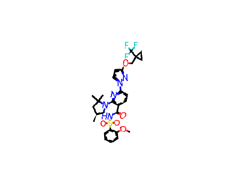 COc1ccccc1S(=O)(=O)NC(=O)c1ccc(-n2ccc(OCC3(C(F)(F)F)CC3)n2)nc1N1C[C@@H](C)CC1(C)C